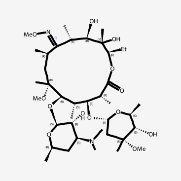 CC[C@H]1OC(=O)[C@H](C)[C@@H](O[C@H]2C[C@@](C)(OC)[C@@H](O)[C@H](C)O2)[C@H](C)[C@@H](O[C@@H]2O[C@H](C)C[C@H](N(C)C)[C@H]2O)[C@](C)(OC)C[C@@H](C)/C(=N\OC)[C@H](C)[C@@H](O)[C@]1(C)O